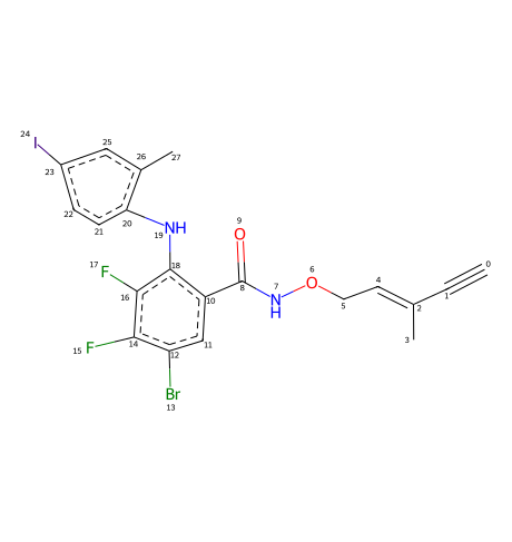 C#C/C(C)=C/CONC(=O)c1cc(Br)c(F)c(F)c1Nc1ccc(I)cc1C